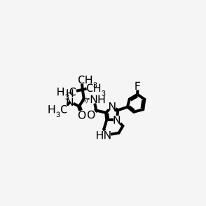 CNC(=O)[C@@H](NC(=O)c1nc(-c2cccc(F)c2)n2c1CNCC2)C(C)(C)C